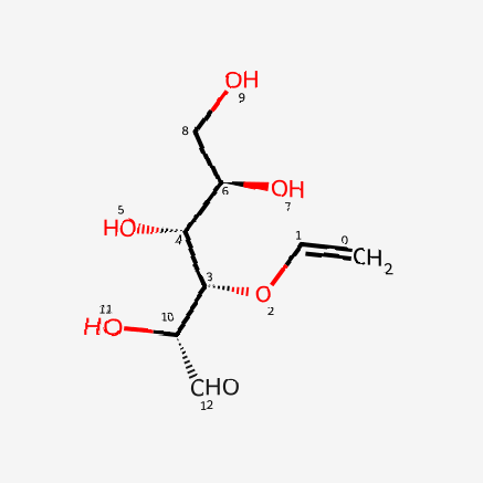 C=CO[C@@H]([C@H](O)[C@H](O)CO)[C@@H](O)C=O